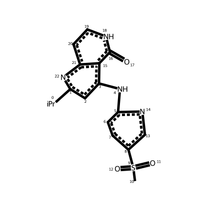 CC(C)c1cc(Nc2ccc(S(C)(=O)=O)cn2)c2c(=O)[nH]ccc2n1